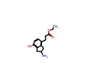 CCOC(=O)CCc1ccc(O)c2c1CC(N)C2